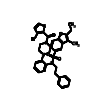 CCc1oc2ccc(S(=O)(=O)N(CCc3ccccc3)c3ccccc3N3CCN(C(=O)c4sccc4Br)CC3)cc2c1C